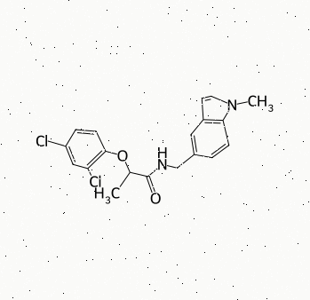 CC(Oc1ccc(Cl)cc1Cl)C(=O)NCc1ccc2c(ccn2C)c1